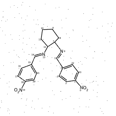 O=[N+]([O-])c1ccc(/C=N/C2CCCCC2/N=C/c2ccc([N+](=O)[O-])cc2)cc1